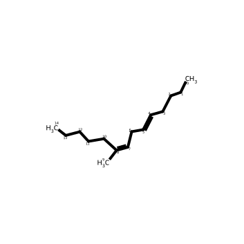 CCCCC=C[CH]C=C(C)CCCCC